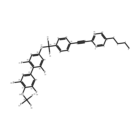 CCCCc1cnc(C#Cc2ccc(C(F)(F)Oc3cc(F)c(-c4cc(F)c(OC(F)(F)F)c(F)c4)c(F)c3)cc2)nc1